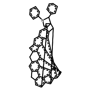 C1=c2cc3cc4cc5c6c4c4c3c3c2C2c7c8c(cc9c%10c%11c(cc(c%12c%11c%11c(c7c3c4c%11c6%12)c8%10)C5)C9)C3CN(c4ccccc4)C(c4ccccc4)C132